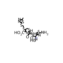 Cc1nnc(SCSC2=C(C(=O)O)N3C(=O)[C@@H](NC(=O)/C(=N\O)c4csc(N)n4)[C@@H]3SC2)s1